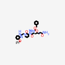 CC(C)Oc1cccc2[nH]c(Cn3cccc(NC(=O)[C@H](CC/C=C/C(N)=O)NC(=O)OCc4ccccc4)c3=O)nc12